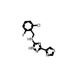 Fc1cccc(Cl)c1CNc1nc(-c2cscn2)n[nH]1